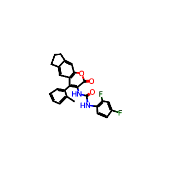 Cc1ccccc1-c1c(NC(=O)Nc2ccc(F)cc2F)c(=O)oc2cc3c(cc12)CCC3